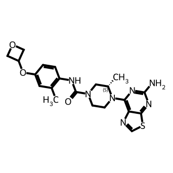 Cc1cc(OC2COC2)ccc1NC(=O)N1CCN(c2nc(N)nc3scnc23)[C@@H](C)C1